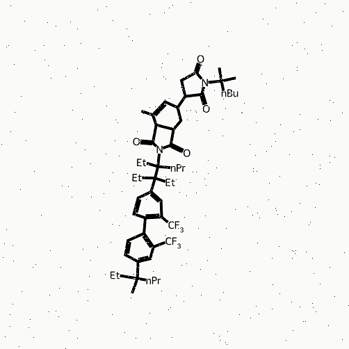 CCCCC(C)(C)N1C(=O)CC(C2C=C(C)C3C(=O)N(C(CC)(CCC)C(CC)(CC)c4ccc(-c5ccc(C(C)(CC)CCC)cc5C(F)(F)F)c(C(F)(F)F)c4)C(=O)C3C2)C1=O